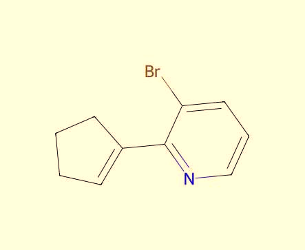 Brc1cccnc1C1=CCCC1